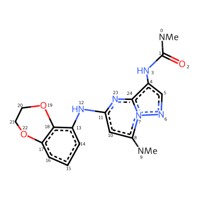 CNC(=O)Nc1cnn2c(NC)cc(Nc3cccc4c3OCCO4)nc12